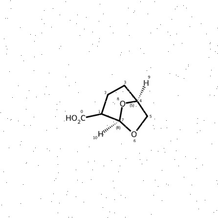 O=C(O)C1CC[C@H]2CO[C@@H]1O2